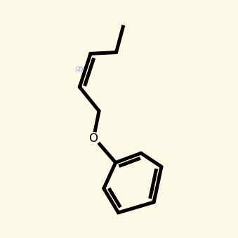 CC/C=C\COc1ccccc1